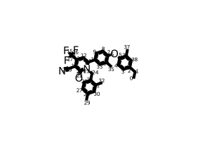 CCc1ccc(Oc2ccc(-c3cc(C(F)(F)F)c(C#N)c(=O)n3Cc3ccc(C)cc3C)cc2C)c(C)c1